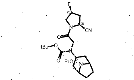 CCOC(=O)N1C2CCC1CC(N(CC(=O)N1C[C@@H](F)C[C@H]1C#N)C(=O)OC(C)(C)C)C2